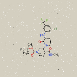 CNC(=O)C1CCN(C(=O)OC(C)(C)C)CC1N1CCCC(Nc2cc(Cl)cc(C(F)(F)F)c2)C1=O